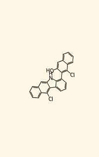 Oc1cc2ccccc2c(Cl)c1-c1cccc2c1[nH]c1cc3ccccc3c(Cl)c12